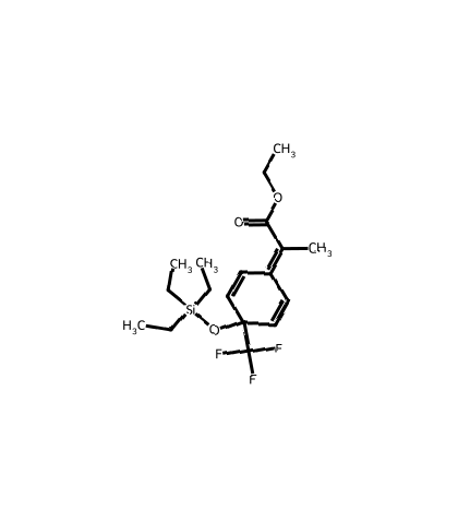 CCOC(=O)C(C)=C1C=CC(O[Si](CC)(CC)CC)(C(F)(F)F)C=C1